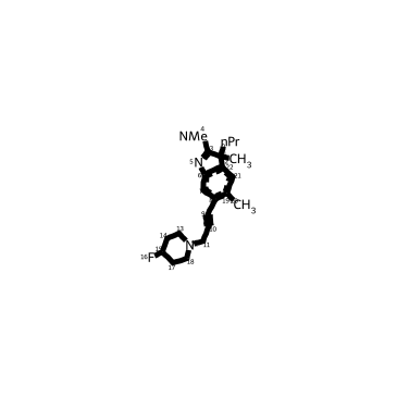 CCCC1(C)C(NC)=Nc2cc(C#CCN3CCC(F)CC3)c(C)cc21